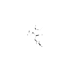 CCC(=O)[C@@]1(C(=O)C=[N+]=[N-])CO1